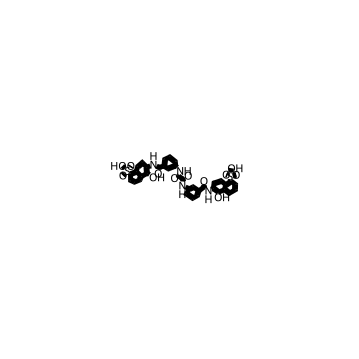 O=C(Nc1cccc(C(=O)Nc2ccc3c(S(=O)(=O)O)cccc3c2O)c1)C(=O)Nc1cccc(C(=O)Nc2ccc3c(S(=O)(=O)O)cccc3c2O)c1